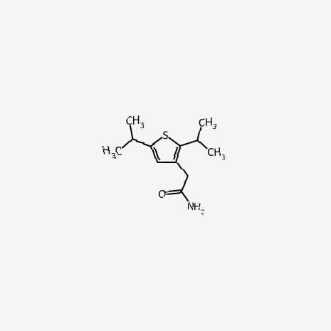 CC(C)c1cc(CC(N)=O)c(C(C)C)s1